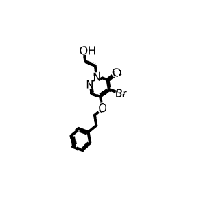 O=c1c(Br)c(OCCc2ccccc2)cnn1CCO